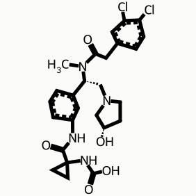 CN(C(=O)Cc1ccc(Cl)c(Cl)c1)[C@H](CN1CC[C@H](O)C1)c1cccc(NC(=O)C2(NC(=O)O)CC2)c1